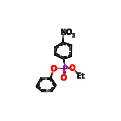 CCOP(=O)(Oc1ccccc1)c1ccc([N+](=O)[O-])cc1